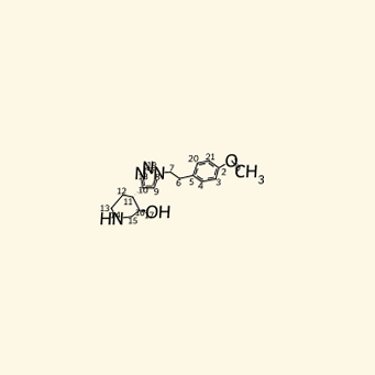 COc1ccc(CCn2cc([C@H]3CCNC[C@@H]3O)nn2)cc1